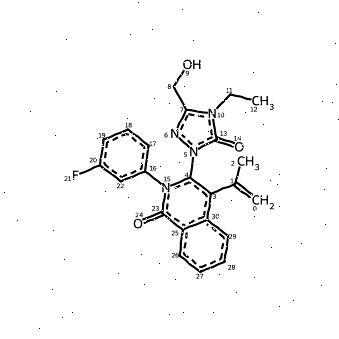 C=C(C)c1c(-n2nc(CO)n(CC)c2=O)n(-c2cccc(F)c2)c(=O)c2ccccc12